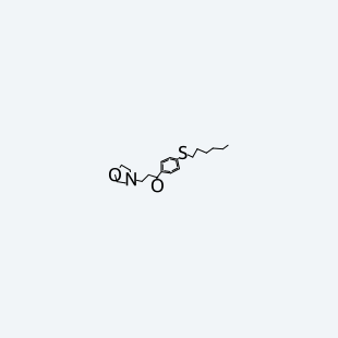 CCCCCCSc1ccc(C(=O)CCN2CCOCC2)cc1